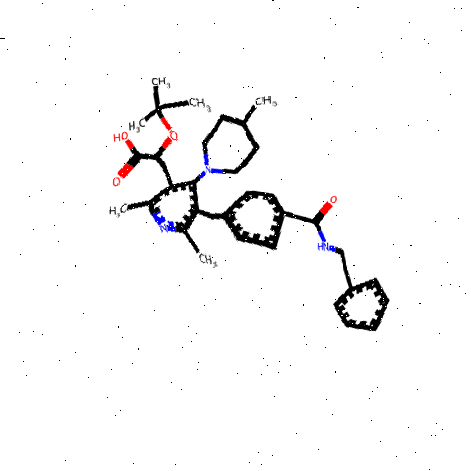 Cc1nc(C)c(C(OC(C)(C)C)C(=O)O)c(N2CCC(C)CC2)c1-c1ccc(C(=O)NCc2ccccc2)cc1